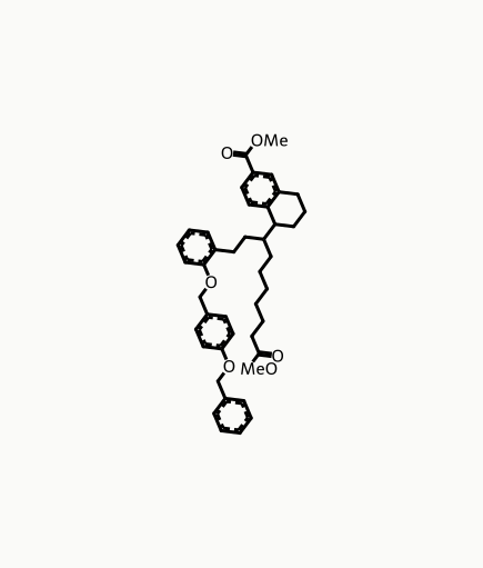 COC(=O)CCCCCCC(CCc1ccccc1OCc1ccc(OCc2ccccc2)cc1)C1CCCc2cc(C(=O)OC)ccc21